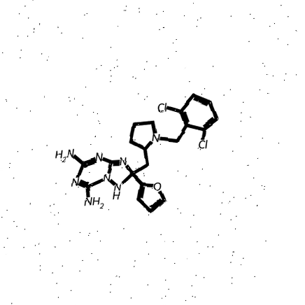 NC1=NC2=NC(CC3CCCN3Cc3c(Cl)cccc3Cl)(c3ccco3)NN2C(N)=N1